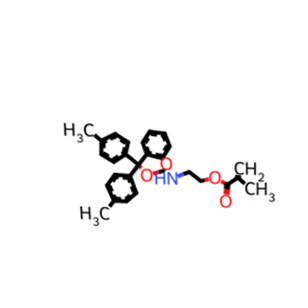 C=C(C)C(=O)OCCNC(=O)OC(c1ccccc1)(c1ccc(C)cc1)c1ccc(C)cc1